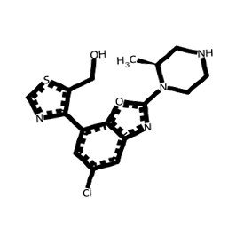 C[C@H]1CNCCN1c1nc2cc(Cl)cc(-c3ncsc3CO)c2o1